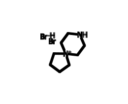 Br.C1CC[N+]2(C1)CCNCC2.[Br-]